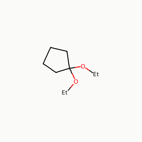 CCOC1(OCC)CCCC1